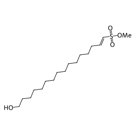 COS(=O)(=O)C=CCCCCCCCCCCCCCCO